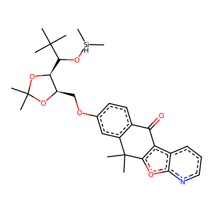 C[SiH](C)OC([C@@H]1OC(C)(C)O[C@@H]1COc1ccc2c(c1)C(C)(C)c1oc3ncccc3c1C2=O)C(C)(C)C